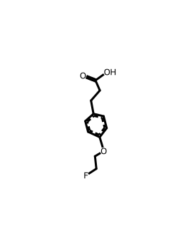 O=C(O)CCc1ccc(OCCF)cc1